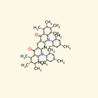 Cc1cc(C)c(-n2c3cc4c(cc3c(=O)c3c(C)c(C)c(C)c(C)c32)c(=O)c2c(C)c(C)c(C)c(C)c2n4-c2c(C)cc(C)cc2C)c(C)c1